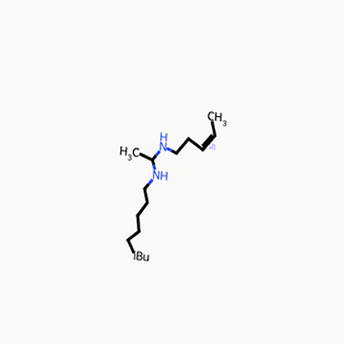 C/C=C\CCNC(C)NCCCCCC(C)CC